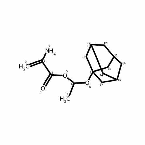 C=C(N)C(=O)OC(C)OC12CC3CC(CC(C3)C1)C2